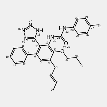 CC=CCc1cc(-c2ccccc2)c(-c2nnn[nH]2)c(NC(=O)Nc2ccc(C)cc2)c1OCCC